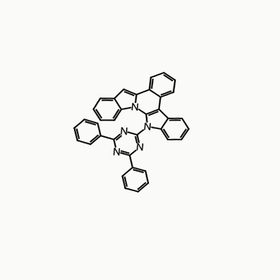 c1ccc(-c2nc(-c3ccccc3)nc(-n3c4ccccc4c4c5ccccc5c5cc6ccccc6n5c43)n2)cc1